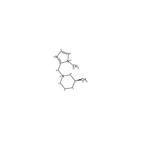 C[C@H]1CCCN(Cc2nccn2C)C1